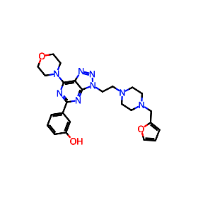 Oc1cccc(-c2nc(N3CCOCC3)c3nnn(CCN4CCN(Cc5ccco5)CC4)c3n2)c1